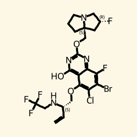 C=C[C@@H](COc1c(Cl)c(Br)c(F)c2nc(OC[C@@]34CCCN3C[C@H](F)C4)nc(O)c12)NCC(F)(F)F